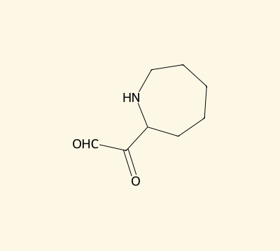 O=CC(=O)C1CCCCCN1